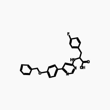 O=C(O)C(Cc1ccc(F)cc1)Nc1cc(-c2ccc(OCc3ccccc3)cc2)ncn1